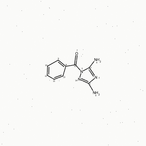 Nc1nc(N)n(C(=O)c2ccccc2)n1